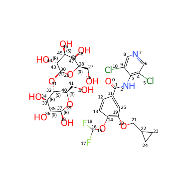 O=C(Nc1c(Cl)cncc1Cl)c1ccc(OC(F)F)c(OCC2CC2)c1.OC[C@H]1O[C@@H](O[C@H]2[C@H](O)[C@@H](O)[C@H](O)O[C@@H]2CO)[C@H](O)[C@@H](O)[C@H]1O